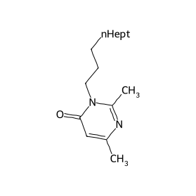 CCCCCCCCCCn1c(C)nc(C)cc1=O